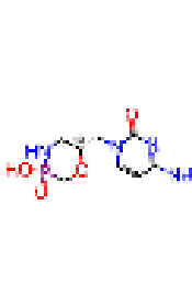 Nc1ccn(C[C@H]2CNP(=O)(O)CO2)c(=O)n1